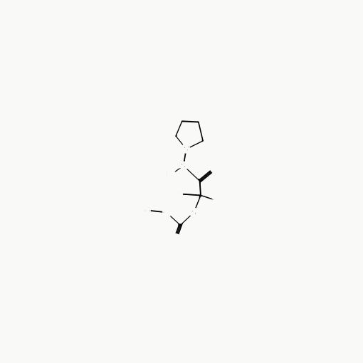 CCCC(CCC)(NC(=O)OC(C)(C)C)C(=O)N(CC)N1CCCC1